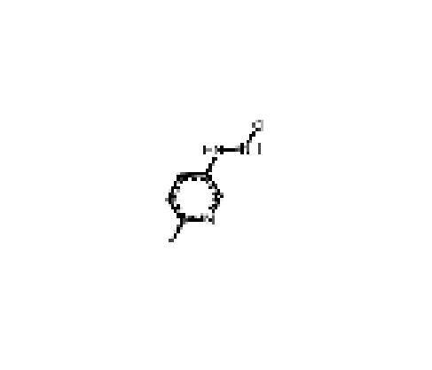 Fc1ccc(NNCl)cn1